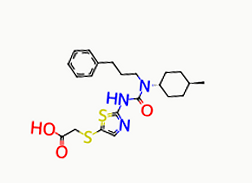 C[C@H]1CC[C@H](N(CCCc2ccccc2)C(=O)Nc2ncc(SCC(=O)O)s2)CC1